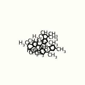 Cc1cc(C)c2c(c1)C(C)c1ccc(C(C)(C)C)cc1B2c1cc2c(cc1C(C)c1cc3c(cc1C)C(C)(C)CCC3(C)C)C(C)(C)CC2(C)C